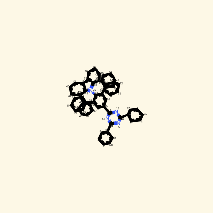 c1ccc(-c2nc(-c3ccccc3)nc(-c3cc(-c4ccccc4)c(-n4c5c(-c6ccccc6)cccc5c5cccc(-c6ccccc6)c54)c(-c4ccccc4)c3)n2)cc1